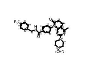 Cc1nc(N2CCN(C=O)CC2)nc2c1ccc(=O)n2-c1ccc(C(=O)NCc2ccc(C(F)(F)F)cc2)cc1